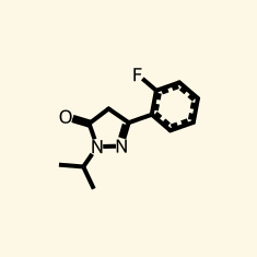 CC(C)N1N=C(c2ccccc2F)CC1=O